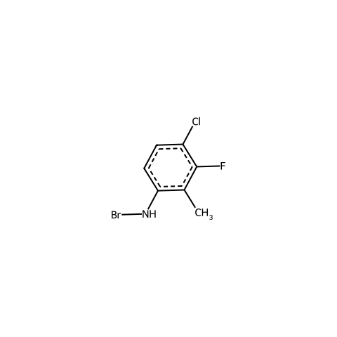 Cc1c(NBr)ccc(Cl)c1F